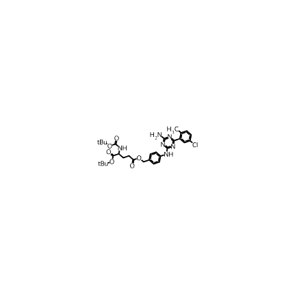 Cc1ccc(Cl)cc1-c1nc(N)nc(Nc2ccc(COC(=O)CCC(NC(=O)OC(C)(C)C)C(=O)OC(C)(C)C)cc2)n1